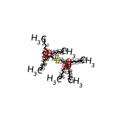 CCCCCCO[Si](CCCSSCCC[Si](OCCCCCC)(OCCCCCC)OCCCCCC)(OCCCCCC)OCCCCCC